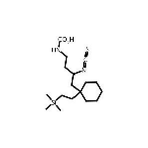 C[Si](C)(C)CCC1(CC(CCNC(=O)O)N=C=S)CCCCC1